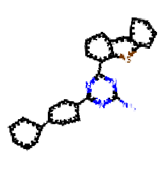 Nc1nc(-c2ccc(-c3ccccc3)cc2)nc(-c2cccc3c2sc2ccccc23)n1